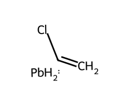 C=CCl.[PbH2]